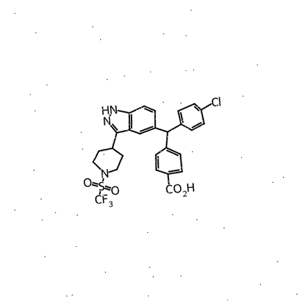 O=C(O)c1ccc(C(c2ccc(Cl)cc2)c2ccc3[nH]nc(C4CCN(S(=O)(=O)C(F)(F)F)CC4)c3c2)cc1